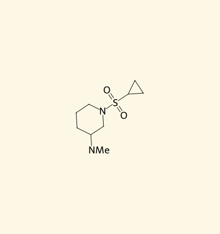 CNC1CCCN(S(=O)(=O)C2CC2)C1